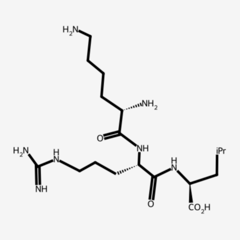 CC(C)C[C@H](NC(=O)[C@H](CCCNC(=N)N)NC(=O)[C@@H](N)CCCCN)C(=O)O